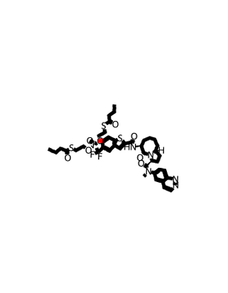 CCCC(=O)SCCOP(=O)(OCCSC(=O)CCC)C(F)(F)c1ccc2sc(C(=O)N[C@H]3CCCC[C@H]4CC[C@@H](C(=O)N(C)c5ccc6nnccc6c5)N4C3=O)cc2c1